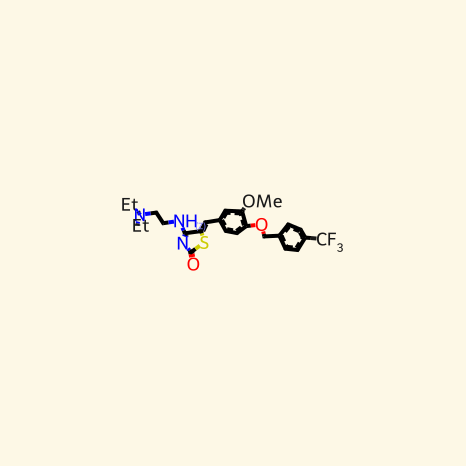 CCN(CC)CCNC1=NC(=O)S/C1=C\c1ccc(OCc2ccc(C(F)(F)F)cc2)c(OC)c1